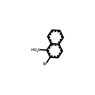 O=S(=O)(O)c1c(Br)ccc2ccccc12